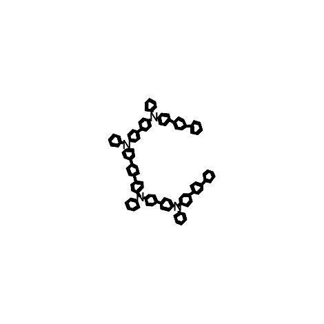 c1ccc(-c2ccc(-c3ccc(N(c4ccccc4)c4ccc(-c5ccc(N(c6ccccc6)c6ccc(-c7ccc(-c8ccc(N(c9ccccc9)c9ccc(-c%10ccc(N(c%11ccccc%11)c%11ccc(-c%12ccc(-c%13ccccc%13)cc%12)cc%11)cc%10)cc9)cc8)cc7)cc6)cc5)cc4)cc3)cc2)cc1